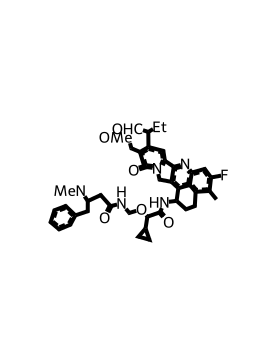 CCC(C=O)c1cc2n(c(=O)c1COC)Cc1c-2nc2cc(F)c(C)c3c2c1C(NC(=O)C(OCNC(=O)CC(Cc1ccccc1)NC)C1CC1)CC3